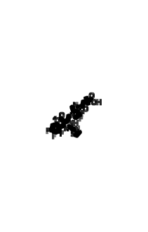 COC(=O)C1=C(CN2CC(F)(F)C3C2C=NN3C(=O)CC(C)(C)C(=O)O)NC(c2nccs2)=NC1c1ccc(F)c(F)c1F